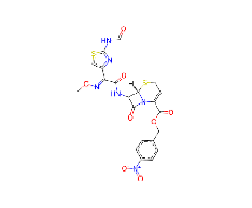 CON=C(C(=O)NC1C(=O)N2C(C(=O)OCc3ccc([N+](=O)[O-])cc3)=CCS[C@@H]12)c1csc(NC=O)n1